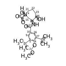 COCOc1c(C(C)C)cc(C(=O)N[C@@H]2C[N+](O)(C(=O)[O-])CCC[C@H]2O)cc1C(C)C